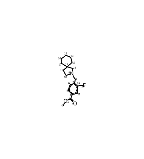 COC(=O)c1ccc(CN2CCC3(CCCCC3)C2)c(F)c1